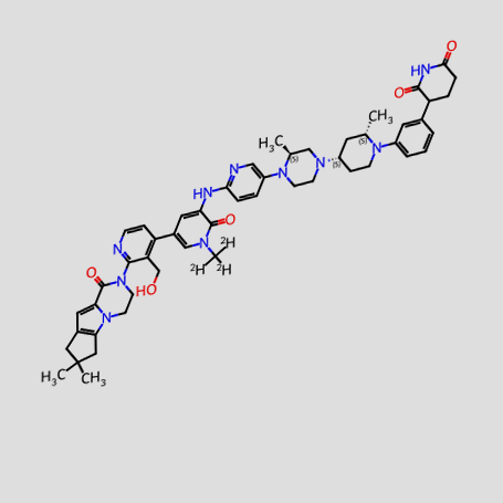 [2H]C([2H])([2H])n1cc(-c2ccnc(N3CCn4c(cc5c4CC(C)(C)C5)C3=O)c2CO)cc(Nc2ccc(N3CCN([C@H]4CCN(c5cccc(C6CCC(=O)NC6=O)c5)[C@@H](C)C4)C[C@@H]3C)cn2)c1=O